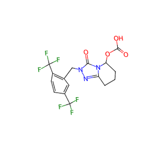 O=C(O)OC1CCCc2nn(Cc3cc(C(F)(F)F)ccc3C(F)(F)F)c(=O)n21